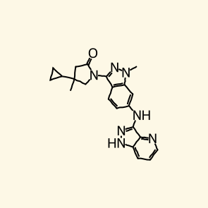 Cn1nc(N2CC(C)(C3CC3)CC2=O)c2ccc(Nc3n[nH]c4cccnc34)cc21